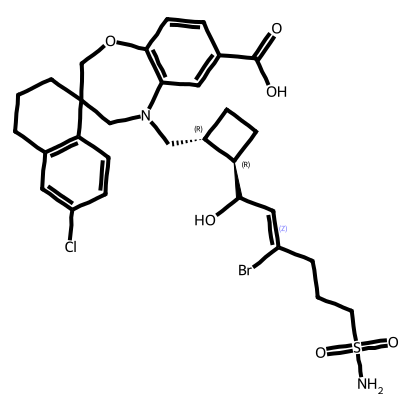 NS(=O)(=O)CCC/C(Br)=C/C(O)[C@@H]1CC[C@H]1CN1CC2(CCCc3cc(Cl)ccc32)COc2ccc(C(=O)O)cc21